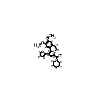 COc1cc2c(cc1OC)-c1c(-c3cccs3)cc(C(=O)N3CCCCC3)n1CC2